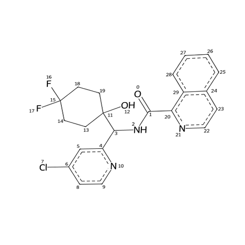 O=C(NC(c1cc(Cl)ccn1)C1(O)CCC(F)(F)CC1)c1nccc2ccccc12